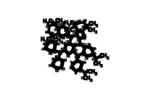 CC(C)c1cccc(N2c3cc(C(C)C)ccc3B3c4sc5c(c4N(c4ccc6c(c4)C(C)(C)CCC6(C)C)c4cc(N(c6ccccc6)c6ccccc6)cc2c43)C(C)(C)CCC5(C)C)c1